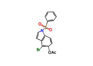 CC(=O)Oc1ccc2c(ccn2S(=O)(=O)c2ccccc2)c1Br